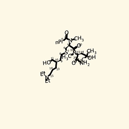 CCCC(=O)N(C)[C@H](CSCC[C@H](CO)CCCN(CC)CC)C(=O)N(C)[C@@H](CC(C)(C)O)C(N)=O